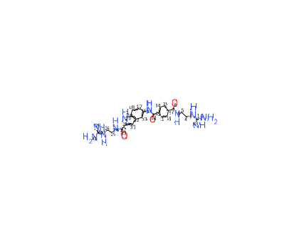 N=C(N)NCCNC(=O)c1ccc(C(=O)Nc2ccc3[nH]c(C(=O)NCCNC(=N)N)cc3c2)cc1